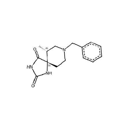 C[C@@H]1CN(Cc2ccccc2)CC[C@]12NC(=O)NC2=O